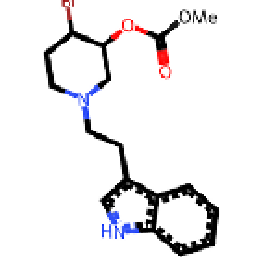 COC(=O)OC1CN(CCc2c[nH]c3ccccc23)CCC1Br